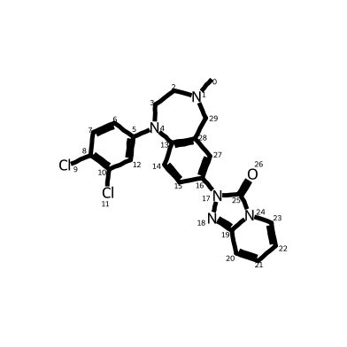 CN1CCN(c2ccc(Cl)c(Cl)c2)c2ccc(-n3nc4ccccn4c3=O)cc2C1